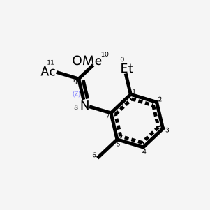 CCc1cccc(C)c1/N=C(\OC)C(C)=O